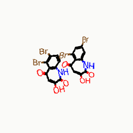 O=c1[nH]c2cc(Br)cc(Br)c2c(=O)cc1O.O=c1[nH]c2ccc(Br)c(Br)c2c(=O)cc1O